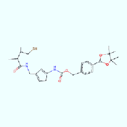 CC(CS)C(C)C(=O)NCC1=CCC(NC(=O)OCc2ccc(B3OC(C)(C)C(C)(C)O3)cc2)=C1